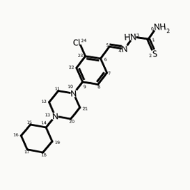 NC(=S)N/N=C/c1ccc(N2CCN(C3CCCCC3)CC2)cc1Cl